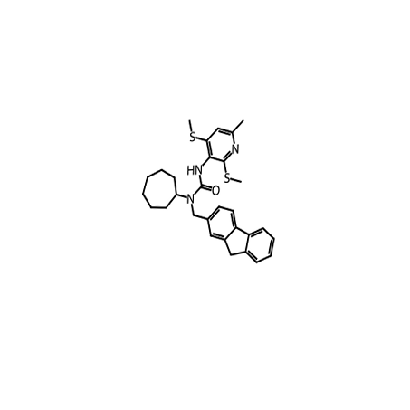 CSc1cc(C)nc(SC)c1NC(=O)N(Cc1ccc2c(c1)Cc1ccccc1-2)C1CCCCCC1